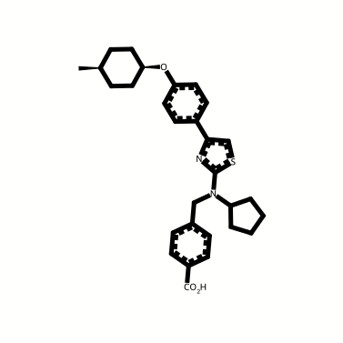 C[C@H]1CC[C@@H](Oc2ccc(-c3csc(N(Cc4ccc(C(=O)O)cc4)C4CCCC4)n3)cc2)CC1